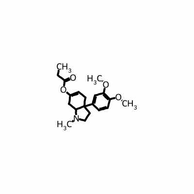 CCC(=O)OC1=CCC2(c3ccc(OC)c(OC)c3)CCN(C)C2C1